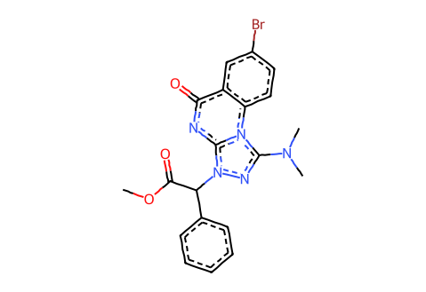 COC(=O)C(c1ccccc1)n1nc(N(C)C)n2c3ccc(Br)cc3c(=O)nc12